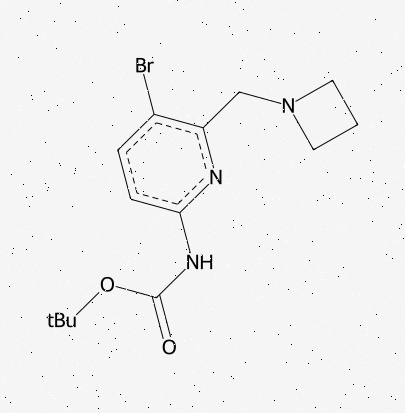 CC(C)(C)OC(=O)Nc1ccc(Br)c(CN2CCC2)n1